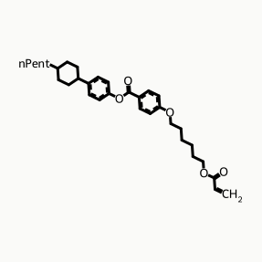 C=CC(=O)OCCCCCCOc1ccc(C(=O)Oc2ccc(C3CCC(CCCCC)CC3)cc2)cc1